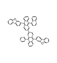 c1ccc(-c2c3ccccc3c(-c3ccc4c(c3)oc3ccccc34)c3ccc(-c4ccc5c(-c6ccc7c(c6)oc6ccccc67)c6ccccc6c(-c6cccc7ccccc67)c5c4)cc23)cc1